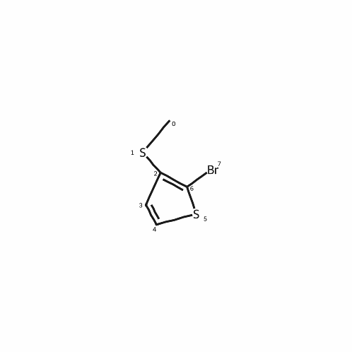 CSc1ccsc1Br